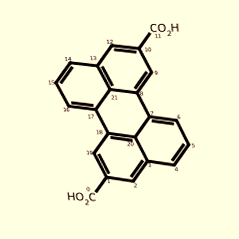 O=C(O)c1cc2cccc3c4cc(C(=O)O)cc5cccc(c(c1)c23)c54